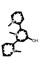 C[n+]1ccccc1-c1cc(O)cc(-c2cccc[n+]2C)[n+]1C